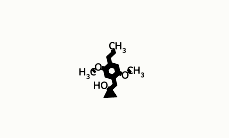 CCCc1cc(OC)c(CC2(O)CC2)cc1OC